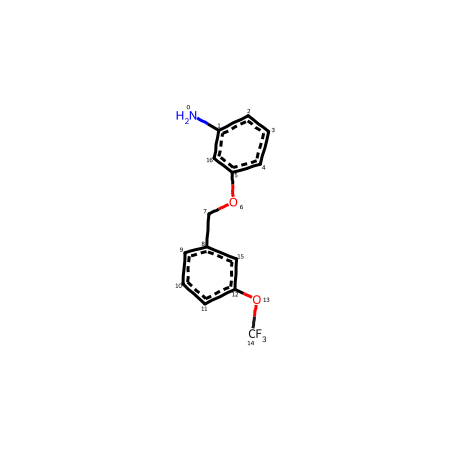 Nc1cccc(OCc2cccc(OC(F)(F)F)c2)c1